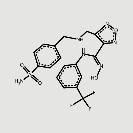 NS(=O)(=O)c1ccc(CNCc2nonc2/C(=N/O)Nc2cccc(C(F)(F)F)c2)cc1